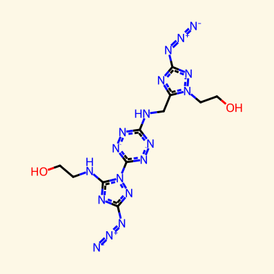 [N-]=[N+]=Nc1nc(CNc2nnc(-n3nc(N=[N+]=[N-])nc3NCCO)nn2)n(CCO)n1